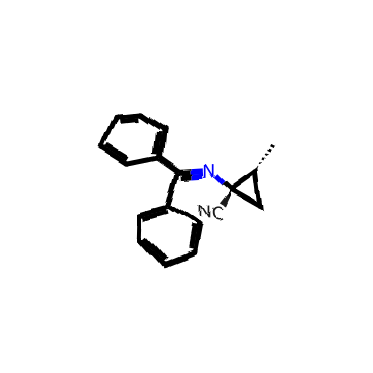 C[C@@H]1C[C@]1(C#N)N=C(c1ccccc1)c1ccccc1